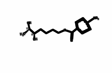 C[C@H](O)[C@@H](O)CCCCOC(=O)c1ccc([N+](=O)[O-])cc1